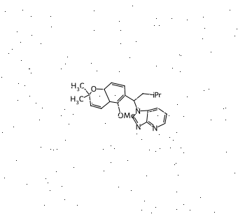 COC1=C(C(CC(C)C)n2cnc3ncccc32)C=CC2OC(C)(C)C=CC12